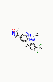 C=C(c1ccc(C(C)(F)F)cc1)c1cc(-c2c(C)noc2C)cc2nc(C3CC3)[nH]c12